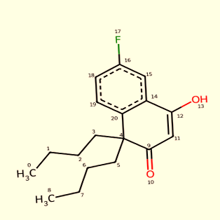 CCCCC1(CCCC)C(=O)C=C(O)c2cc(F)ccc21